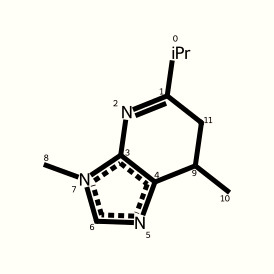 CC(C)C1=Nc2c(ncn2C)C(C)C1